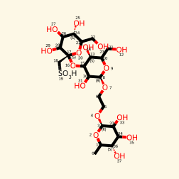 CC1O[C@@H](OCCO[C@@H]2OC(CO)[C@H](O)C(O[C@@]3(CS(=O)(=O)O)OC(CO)[C@@H](O)C(O)C3O)C2O)C(O)C(O)[C@@H]1O